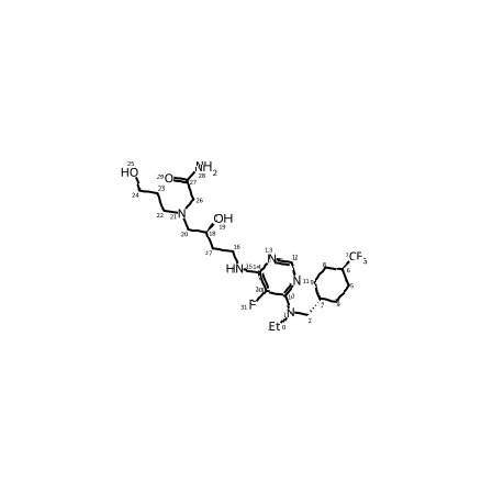 CCN(C[C@H]1CC[C@H](C(F)(F)F)CC1)c1ncnc(NCC[C@H](O)CN(CCCO)CC(N)=O)c1F